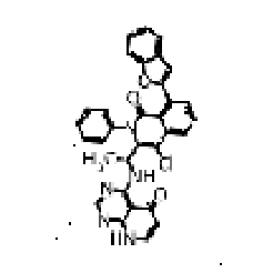 C[C@H](Nc1ncnc2[nH]ccc(=O)c12)c1c(Cl)c2cccc(-c3cc4ccccc4o3)c2c(=O)n1-c1ccccc1